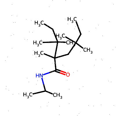 CCC(C)(C)CC(C)(C(=O)NC(C)C)C(C)(C)CC